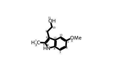 COc1ccc2[nH]c(C)c(CCO)c2c1